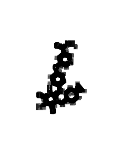 CCn1c(=O)[nH]/c(=N\c2ccc(Oc3cncc(C(N)=O)c3)cc2)n(CC2CCC3(CC2)CC3)c1=O